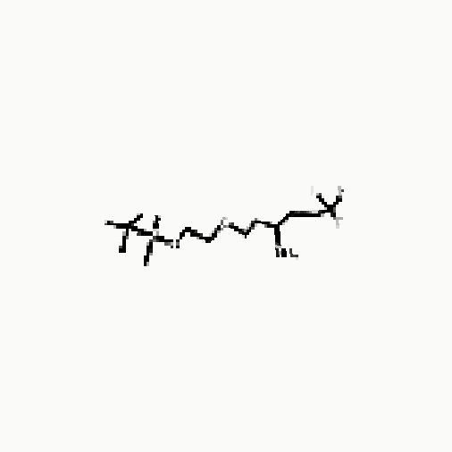 CC(C)(C)[Si](C)(C)OCCOCCC(N)CCC(F)(F)F